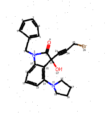 O=C1N(Cc2ccccc2)c2cccc(N3CCCC3)c2C1(O)C#CCBr